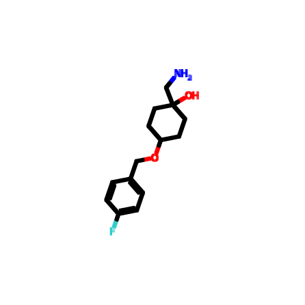 NCC1(O)CCC(OCc2ccc(F)cc2)CC1